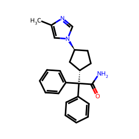 Cc1cn([C@H]2CC[C@H](C(C(N)=O)(c3ccccc3)c3ccccc3)C2)cn1